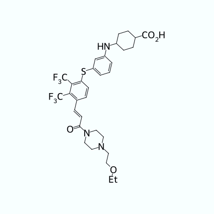 CCOCCN1CCN(C(=O)C=Cc2ccc(Sc3cccc(NC4CCC(C(=O)O)CC4)c3)c(C(F)(F)F)c2C(F)(F)F)CC1